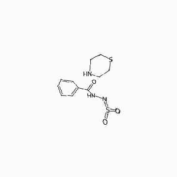 C1CSCCN1.O=C(NN=S(=O)=O)c1ccccc1